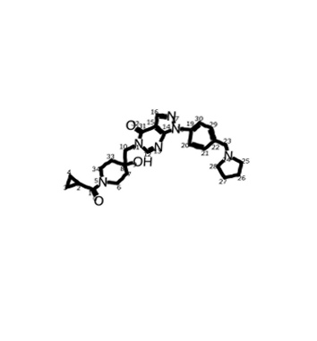 O=C(C1CC1)N1CCC(O)(Cn2cnc3c(cnn3-c3ccc(CN4CCCC4)cc3)c2=O)CC1